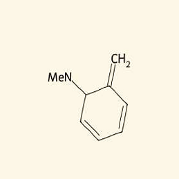 C=C1C=CC=CC1NC